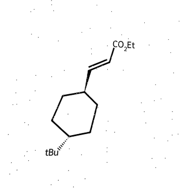 CCOC(=O)C=C[C@H]1CC[C@H](C(C)(C)C)CC1